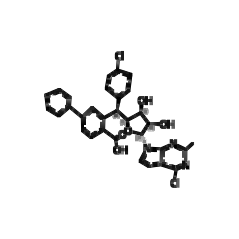 Cc1nc(Cl)c2ccn([C@@H]3O[C@@H]([C@H](c4ccc(Cl)cc4)c4cc(-c5ccccc5)ccc4C(=O)O)[C@@H](O)[C@H]3O)c2n1